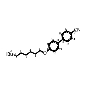 CC[C@H](C)CCCCCCOc1ccc(-c2ccc(C#N)cc2)cc1